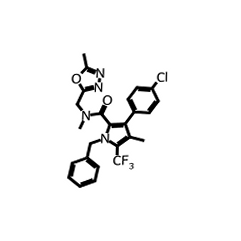 Cc1nnc(CN(C)C(=O)c2c(-c3ccc(Cl)cc3)c(C)c(C(F)(F)F)n2Cc2ccccc2)o1